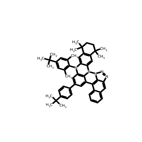 Cc1cc(C(C)(C)C)cc(C)c1N1c2cc3c(cc2B2c4c(cc(-c5ccc(C(C)(C)C)cc5)cc41)-c1c4ccccc4cc4nnn2c14)C(C)(C)CCC3(C)C